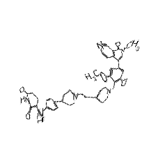 COc1cc(-c2cn(C)c(=O)c3cnccc23)cc(Cl)c1CN1CCC(CCN2CCC(c3ccc(NC4CCC(=O)NC4=O)cc3)CC2)CC1